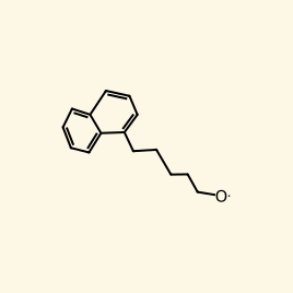 [O]CCCCCc1cccc2ccccc12